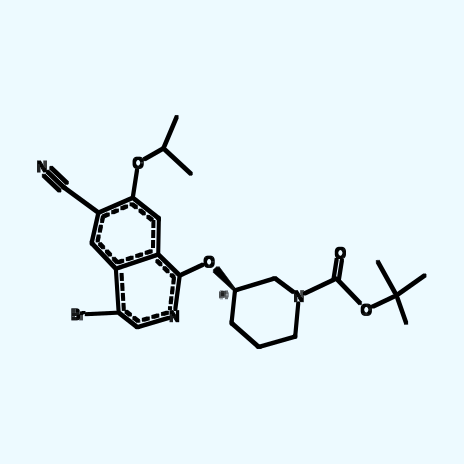 CC(C)Oc1cc2c(O[C@@H]3CCCN(C(=O)OC(C)(C)C)C3)ncc(Br)c2cc1C#N